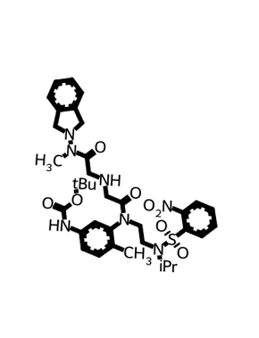 Cc1ccc(NC(=O)OC(C)(C)C)cc1N(CCN(C(C)C)S(=O)(=O)c1ccccc1[N+](=O)[O-])C(=O)CNCC(=O)N(C)N1Cc2ccccc2C1